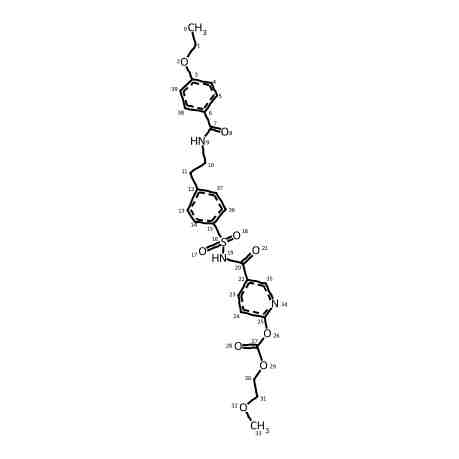 CCOc1ccc(C(=O)NCCc2ccc(S(=O)(=O)NC(=O)c3ccc(OC(=O)OCCOC)nc3)cc2)cc1